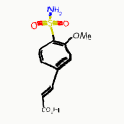 COc1cc(C=CC(=O)O)ccc1S(N)(=O)=O